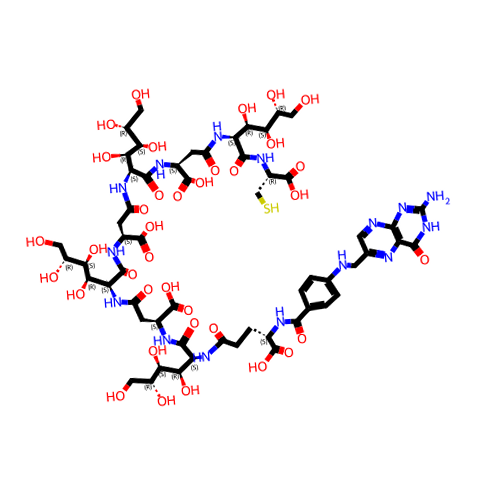 Nc1nc2ncc(CNc3ccc(C(=O)N[C@@H](CCC(=O)N[C@H](C(=O)N[C@@H](CC(=O)N[C@H](C(=O)N[C@@H](CC(=O)N[C@H](C(=O)N[C@@H](CC(=O)N[C@H](C(=O)N[C@@H](CS)C(=O)O)[C@@H](O)[C@H](O)[C@H](O)CO)C(=O)O)[C@@H](O)[C@H](O)[C@H](O)CO)C(=O)O)[C@@H](O)[C@H](O)[C@H](O)CO)C(=O)O)[C@@H](O)[C@H](O)[C@H](O)CO)C(=O)O)cc3)nc2c(=O)[nH]1